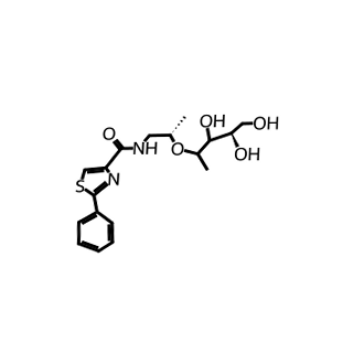 CC(O[C@@H](C)CNC(=O)c1csc(-c2ccccc2)n1)C(O)[C@H](O)CO